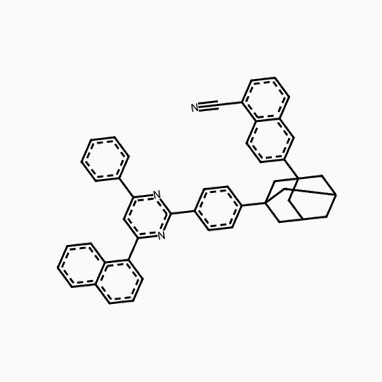 N#Cc1cccc2cc(C34CC5CC(CC(c6ccc(-c7nc(-c8ccccc8)cc(-c8cccc9ccccc89)n7)cc6)(C5)C3)C4)ccc12